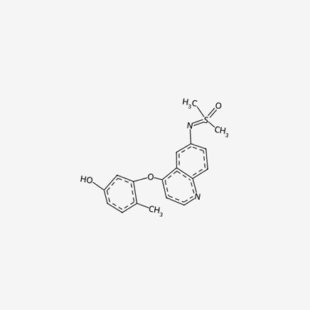 Cc1ccc(O)cc1Oc1ccnc2ccc(N=S(C)(C)=O)cc12